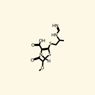 COC1C(=O)N2C(C(=O)O)=C(SCC(C)NC=N)S[C@H]12